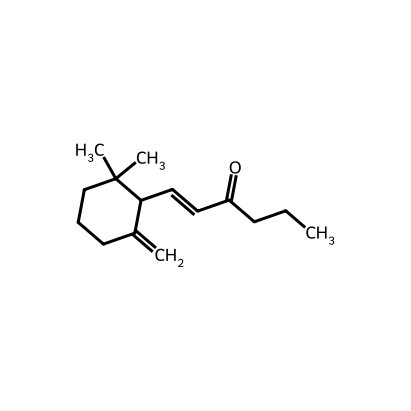 C=C1CCCC(C)(C)C1C=CC(=O)CCC